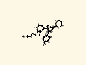 NCCNc1nccc(-c2[nH]c(C3OCCCO3)nc2-c2ccc(F)cc2)n1